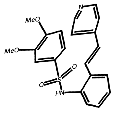 COc1ccc(S(=O)(=O)Nc2ccccc2C=Cc2ccncc2)cc1OC